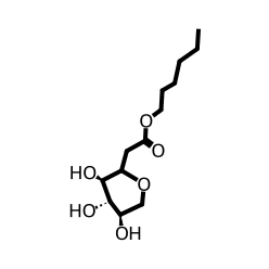 CCCCCCOC(=O)CC1OC[C@@H](O)[C@H](O)[C@H]1O